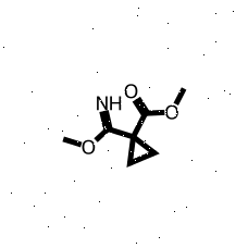 COC(=N)C1(C(=O)OC)CC1